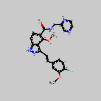 COc1cc(/C=C/c2n[nH]c3ccc(C(=O)NCc4cnccn4)c(OC)c23)ccc1F